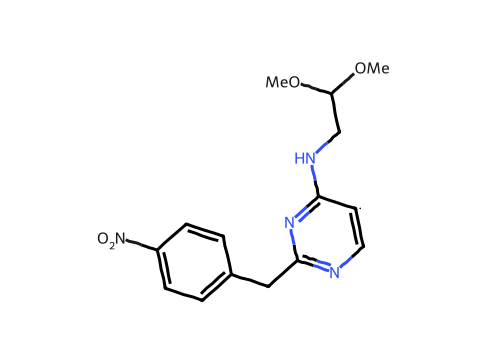 COC(CNc1[c]cnc(Cc2ccc([N+](=O)[O-])cc2)n1)OC